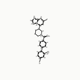 Cc1cc(C2CCCN(C(=O)c3ccc(-c4ccc(F)cc4Cl)cc3)C2)n2ncnc2n1